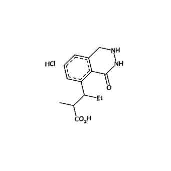 CCC(c1cccc2c1C(=O)NNC2)C(C)C(=O)O.Cl